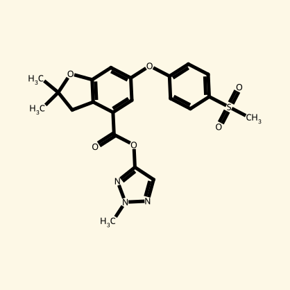 Cn1ncc(OC(=O)c2cc(Oc3ccc(S(C)(=O)=O)cc3)cc3c2CC(C)(C)O3)n1